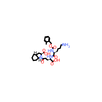 Cc1ccccc1COC(=O)N[C@@H](CCCCN)C(=O)N[C@H](CCC(=O)N1[C@H](C(=O)O)C[C@@H]2CCCC[C@@H]21)C(=O)O